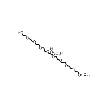 CCCCCCCCOCCOCCOCCOCCOCCOCCOCCOCCOCCO.O=S(=O)(O)O